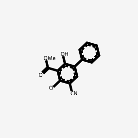 COC(=O)c1c(O)c(-c2ccccc2)cc(C#N)c1Cl